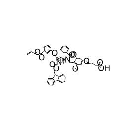 C=CCOC(=O)c1cccc(OC[C@@H]2C[C@@H](N(Cc3c(OC)cc(OCCCC(=O)O)cc3OC)C(=O)c3ccccc3)CN2C(=O)OCC2c3ccccc3-c3ccccc32)c1